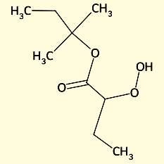 CCC(OO)C(=O)OC(C)(C)CC